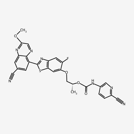 COc1cnc2c(-c3nc4cc(F)c(OC[C@@H](C)OC(=O)Nc5ccc(C#N)nc5)cc4s3)cc(C#N)cc2n1